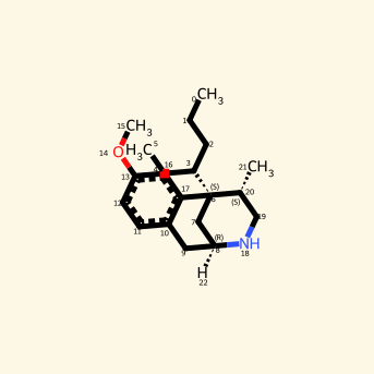 CCCC(CC)[C@]12C[C@H](Cc3ccc(OC)cc31)NC[C@H]2C